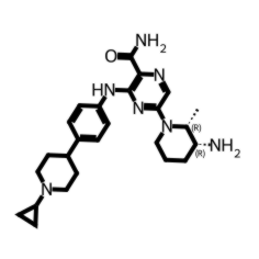 C[C@@H]1[C@H](N)CCCN1c1cnc(C(N)=O)c(Nc2ccc(C3CCN(C4CC4)CC3)cc2)n1